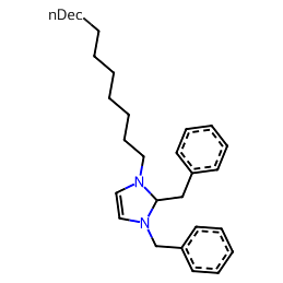 CCCCCCCCCCCCCCCCCN1C=CN(Cc2ccccc2)C1Cc1ccccc1